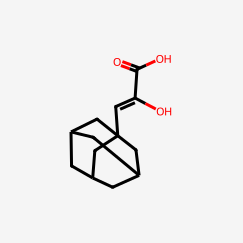 O=C(O)/C(O)=C/C12CC3CC(CC(C3)C1)C2